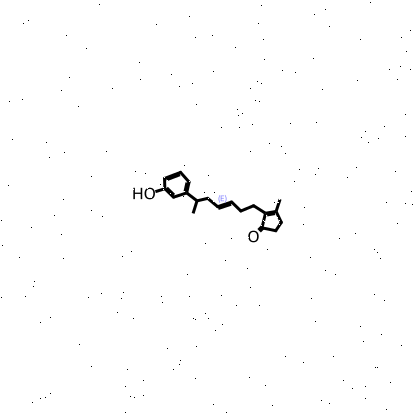 CC1=C(CC/C=C/CC(C)c2cccc(O)c2)C(=O)CC1